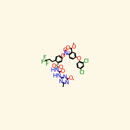 COC(=O)c1cc(Oc2ccc(Cl)cc2Cl)ccc1[N+](=O)[O-].COc1nc(C)nc(NC(=O)NS(=O)(=O)c2ccccc2CCC(F)(F)F)n1